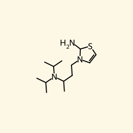 CC(C)N(C(C)C)C(C)CCN1C=CSC1N